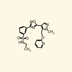 CCNS(=O)(=O)c1cccc(-c2noc(-c3cnn(C)c3COc3ccccn3)n2)c1